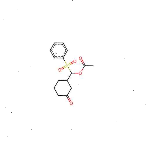 CC(=O)OC(C1CCCC(=O)C1)S(=O)(=O)c1ccccc1